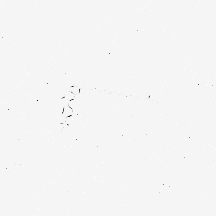 CCC(C)C(=O)OCCCCCCCCCCCCOc1cc2cc(-c3ccc(S(=O)(=O)C(F)(F)F)cc3)c(=O)oc2cn1